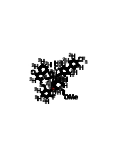 [2H]c1c([2H])c(F)c(F)c(CSc2c([2H])c(=O)c3c([2H])c([2H])c([2H])c([2H])c3n2CC(=O)N(C([2H])([2H])c2c([2H])c([2H])c(-c3c([2H])c([2H])c(C(F)(F)F)c([2H])c3[2H])c([2H])c2C)C2([2H])C([2H])([2H])C([2H])([2H])N(CCOC)C([2H])([2H])C2([2H])[2H])c1[2H]